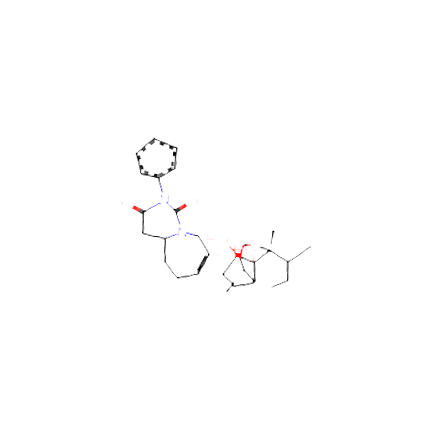 CC1CC[C@@]23CCC(O)[C@@]2(O)[C@]1(C)CC[C@@H](C1=CCCC2CC(=O)N(c4ccccc4)C(=O)N2C1)[C@@H]3C